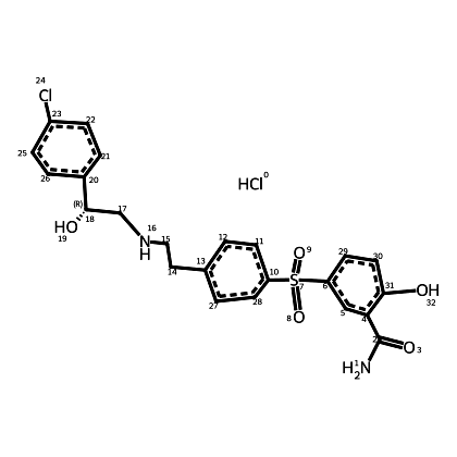 Cl.NC(=O)c1cc(S(=O)(=O)c2ccc(CCNC[C@H](O)c3ccc(Cl)cc3)cc2)ccc1O